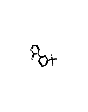 FC(F)(F)c1cccc(-n2cccnc2=S)c1